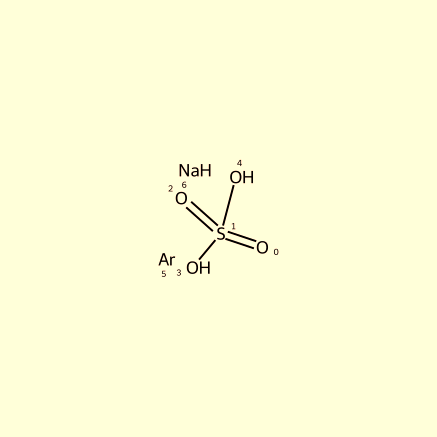 O=S(=O)(O)O.[Ar].[NaH]